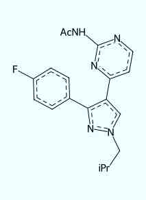 CC(=O)Nc1nccc(-c2cn(CC(C)C)nc2-c2ccc(F)cc2)n1